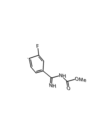 COC(=O)NC(=N)c1cc[c]c(F)c1